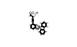 CC(C)(C)[Si](Oc1cccc(C#CCCC(=O)O)c1)(c1ccccc1)c1ccccc1